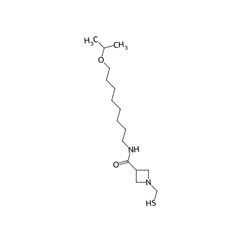 CC(C)OCCCCCCCCNC(=O)C1CN(CS)C1